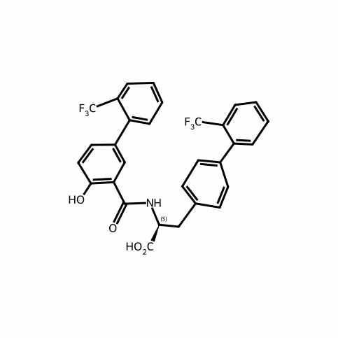 O=C(N[C@@H](Cc1ccc(-c2ccccc2C(F)(F)F)cc1)C(=O)O)c1cc(-c2ccccc2C(F)(F)F)ccc1O